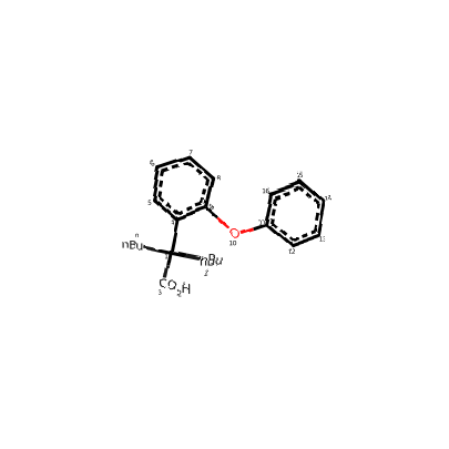 CCCCC(CCCC)(C(=O)O)c1ccccc1Oc1ccccc1